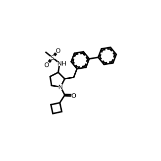 CS(=O)(=O)NC1CCN(C(=O)C2CCC2)C1Cc1cccc(-c2ccccc2)c1